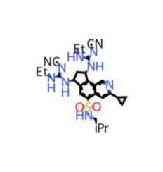 CCNC(=NC#N)NC1CC(NC(=NC#N)NCC)c2c1cc(S(=O)(=O)NCC(C)C)c1cc(C3CC3)ncc21